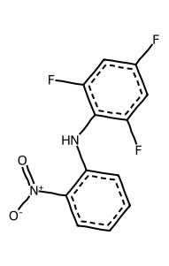 O=[N+]([O-])c1ccccc1Nc1c(F)cc(F)cc1F